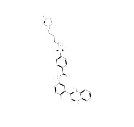 O=C(Nc1ccc(Cl)c(-c2cnc3ccccc3n2)c1)c1ccc(S(=O)(=O)NCCCN2C=NCC2)cc1